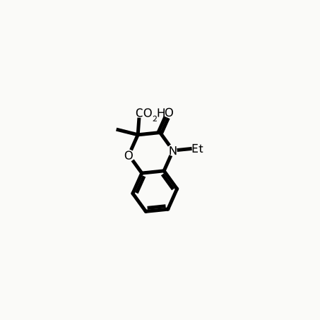 CCN1C(=O)C(C)(C(=O)O)Oc2ccccc21